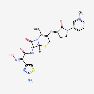 C[n+]1cccc(N2CCC(=CC3=C(C(=O)[O-])N4C(=O)[C@@H](NC(=O)/C(=N\O)c5csc(N)n5)[C@H]4SC3)C2=O)c1